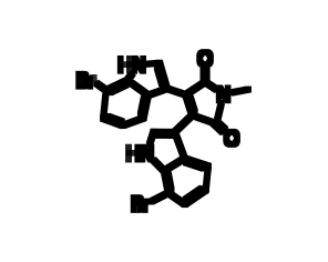 CN1C(=O)C(c2c[nH]c3c(Br)cccc23)=C(c2c[nH]c3c(Br)cccc23)C1=O